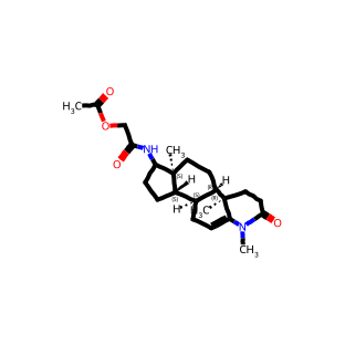 CC(=O)OCC(=O)NC1CC[C@H]2[C@@H]3CC=C4N(C)C(=O)CC[C@]4(C)[C@@H]3CC[C@]12C